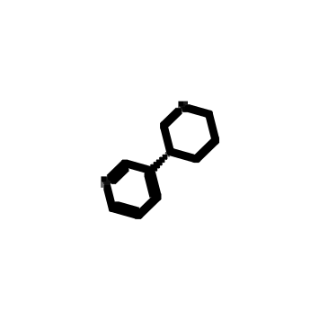 c1cncc([C@H]2CCC[N]C2)c1